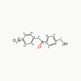 CC(C)Cc1ccc(C(=O)Cc2ccc([N+](=O)[O-])cc2)cc1